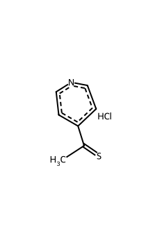 CC(=S)c1ccncc1.Cl